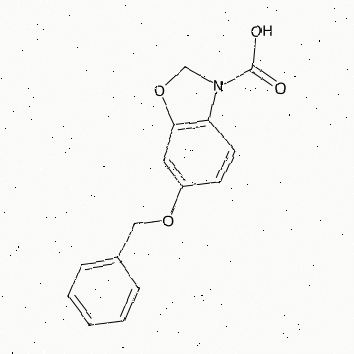 O=C(O)N1COc2cc(OCc3ccccc3)ccc21